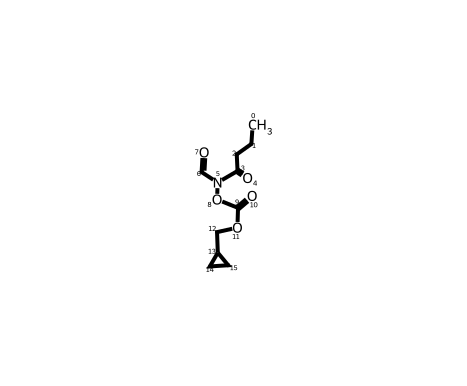 CCCC(=O)N(C=O)OC(=O)OCC1CC1